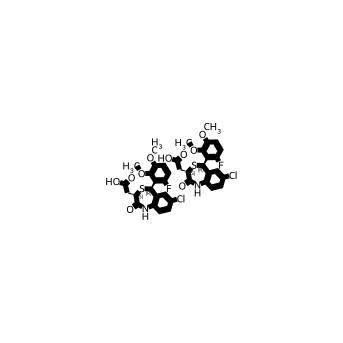 COc1ccc(F)c([C@@H]2S[C@@H](CC(=O)O)C(=O)Nc3ccc(Cl)cc32)c1OC.COc1ccc(F)c([C@@H]2S[C@@H](CC(=O)O)C(=O)Nc3ccc(Cl)cc32)c1OC